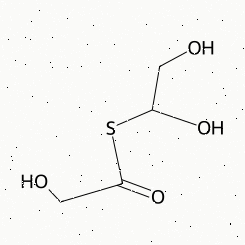 O=C(CO)SC(O)CO